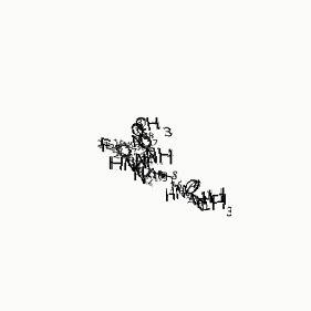 CNCC(=O)NCCCC#Cc1cnc(Nc2cccc(F)c2)nc1Nc1ccc(OC)nc1